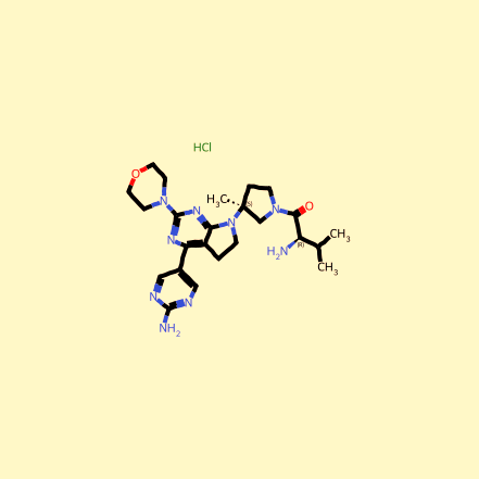 CC(C)[C@@H](N)C(=O)N1CC[C@](C)(N2CCc3c(-c4cnc(N)nc4)nc(N4CCOCC4)nc32)C1.Cl